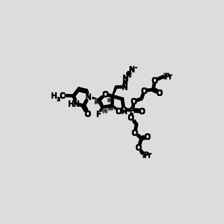 CC1C=CN([C@@H]2O[C@](CN=[N+]=[N-])(COP(=O)(OCOC(=O)OC(C)C)OCOC(=O)OC(C)C)[C@@H](O)[C@H]2F)C(=O)N1